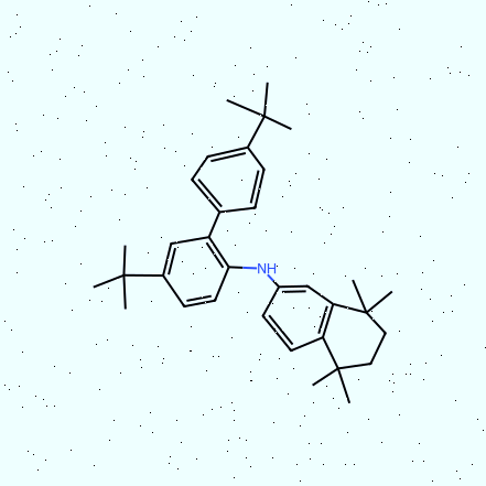 CC(C)(C)c1ccc(-c2cc(C(C)(C)C)ccc2Nc2ccc3c(c2)C(C)(C)CCC3(C)C)cc1